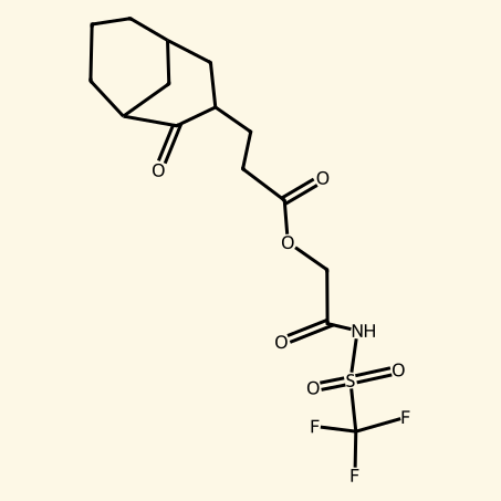 O=C(COC(=O)CCC1CC2CCCC(C2)C1=O)NS(=O)(=O)C(F)(F)F